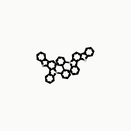 c1ccc(-n2c3ccccc3c3c4oc5ccccc5c4ccc32)c(-c2ccccc2-n2c3ccccc3c3c4sc5ccccc5c4ccc32)c1